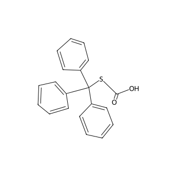 O=C(O)SC(c1ccccc1)(c1ccccc1)c1ccccc1